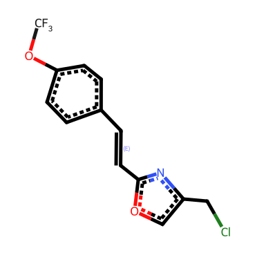 FC(F)(F)Oc1ccc(/C=C/c2nc(CCl)co2)cc1